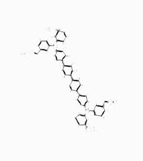 C=Cc1cccc(N(c2ccc(-c3ccc(-c4ccc(-c5ccc(N(c6cccc(C)c6)c6cccc(C=C)c6)cc5)cc4)cc3)cc2)c2cccc(C)c2)c1